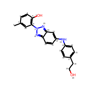 Cc1ccc(O)c(-n2nc3ccc(Nc4ccc(CCO)cc4)cc3n2)c1